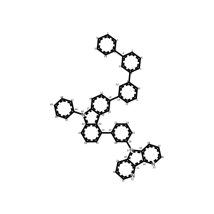 c1ccc(-c2cccc(-c3cccc(-c4ccc5c(c4)c4c(-c6cccc(-n7c8cccnc8c8ncccc87)c6)cccc4n5-c4ccccc4)c3)c2)cc1